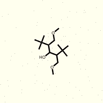 COCC(C(O)C(COC)C(C)(C)C)C(C)(C)C